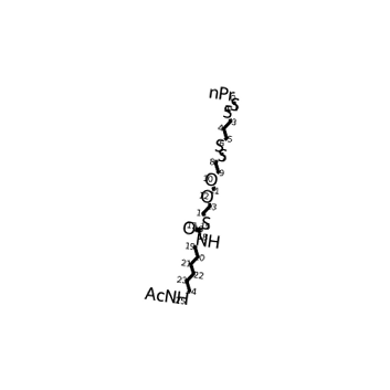 CCCSSCCCSSCCOCOCCSC(=O)NCCCCCCNC(C)=O